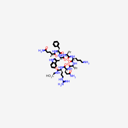 CC(C)[C@H](NC(=O)[C@H](CCCCN)NC(=O)[C@@H](NC(=O)[C@H](Cc1c[nH]c2ccccc12)NC(=O)[C@H](Cc1ccccc1)NC(=O)[C@@H](C)CCC(N)=O)C(C)C)C(=O)N[C@@H](CCC(N)=O)C(=O)N[C@@H](CCCNC(=N)N)C(=O)NCC(=O)O